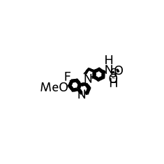 COc1cc2nccc(N3CCc4cc(N[SH](=O)=O)ccc43)c2cc1F